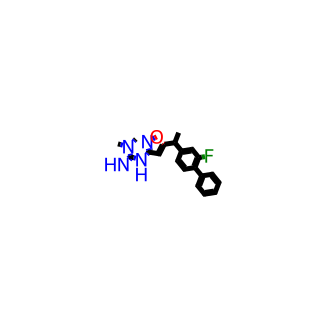 CC(c1ccc(-c2ccccc2)c(F)c1)c1cc(NC(=N)N(C)C)no1